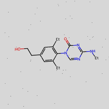 CCNc1ncn(-c2c(CC)cc(CCO)cc2CC)c(=O)n1